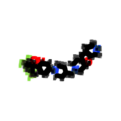 OC(c1ccc(N2CCC(CN3CCC4(CC3)Cc3ccncc3O4)CC2)cc1)(C(F)(F)F)C(F)(F)F